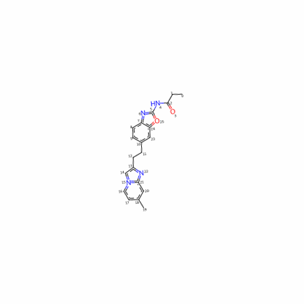 CCC(=O)Nc1nc2ccc(CCc3cn4ccc(C)cc4n3)cc2o1